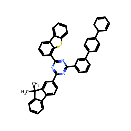 CC1(C)c2ccccc2-c2ccc(-c3nc(-c4cccc(-c5ccc(C6C=CC=CC6)cc5)c4)nc(-c4cccc5c4sc4ccccc45)n3)cc21